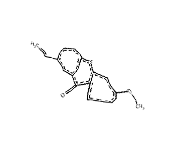 C=Cc1ccc2sc3cc(OC)ccc3c(=O)c2c1